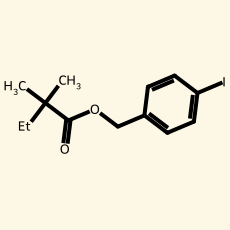 CCC(C)(C)C(=O)OCc1ccc(I)cc1